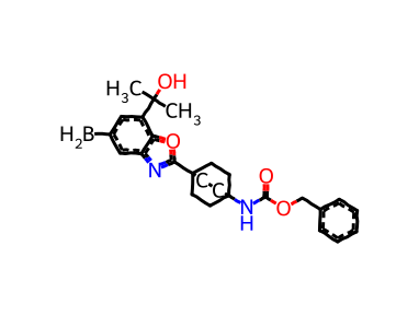 Bc1cc(C(C)(C)O)c2oc(C34CCC(NC(=O)OCc5ccccc5)(CC3)CC4)nc2c1